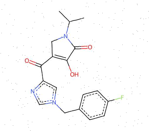 CC(C)N1CC(C(=O)c2cn(Cc3ccc(F)cc3)cn2)=C(O)C1=O